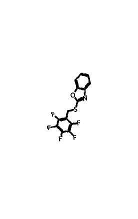 Fc1c(F)c(F)c(CSc2nc3ccccc3o2)c(F)c1F